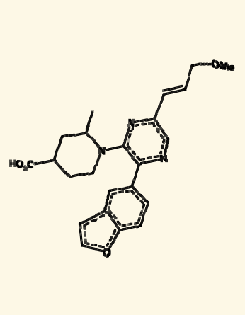 COCC=Cc1cnc(-c2ccc3occc3c2)c(N2CCC(C(=O)O)CC2C)n1